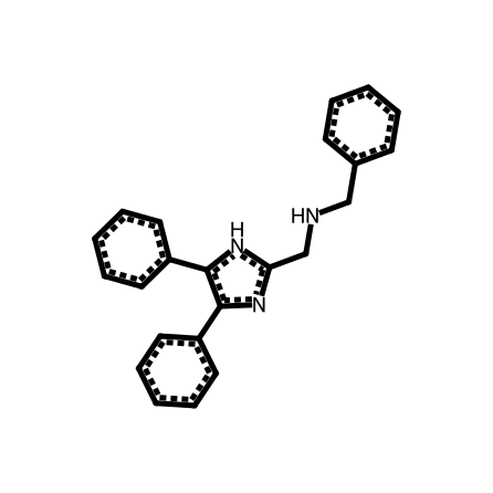 c1ccc(CNCc2nc(-c3ccccc3)c(-c3ccccc3)[nH]2)cc1